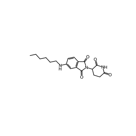 CCCCCCNc1ccc2c(c1)C(=O)N(C1CCC(=O)NC1=O)C2=O